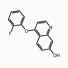 Oc1ccc2c(Oc3ccccc3F)ccnc2c1